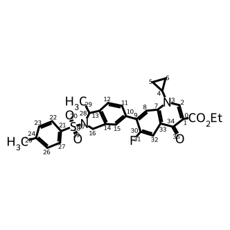 CCOC(=O)c1cn(C2CC2)c2cc(-c3ccc4c(c3)CN(S(=O)(=O)c3ccc(C)cc3)C4C)c(F)cc2c1=O